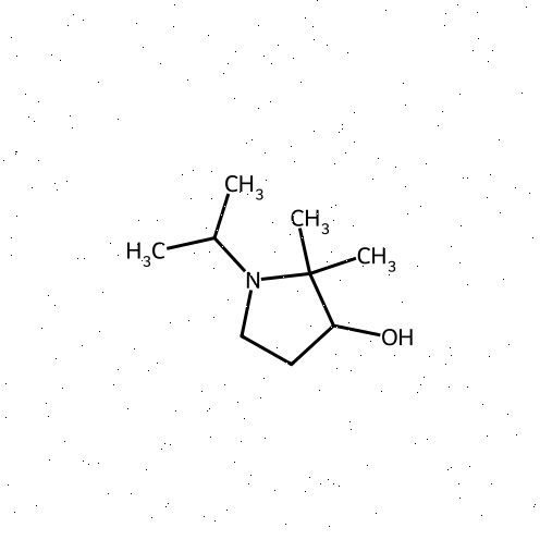 CC(C)N1CCC(O)C1(C)C